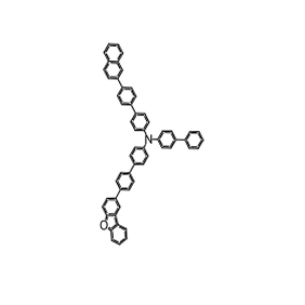 c1ccc(-c2ccc(N(c3ccc(-c4ccc(-c5ccc6ccccc6c5)cc4)cc3)c3ccc(-c4ccc(-c5ccc6oc7ccccc7c6c5)cc4)cc3)cc2)cc1